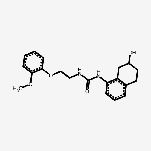 COc1ccccc1OCCNC(=O)Nc1cccc2c1CC(O)CC2